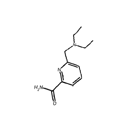 CCN(CC)Cc1cc[c]c(C(N)=O)n1